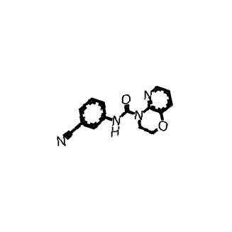 N#Cc1cccc(NC(=O)N2CCOc3cccnc32)c1